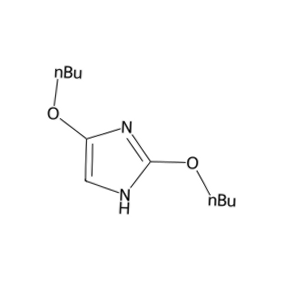 CCCCOc1c[nH]c(OCCCC)n1